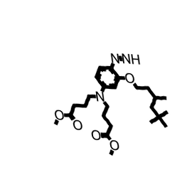 COC(=O)CCCN(CCCC(=O)OC)c1ccc(N=N)c(OCCC(C)CC(C)(C)C)c1